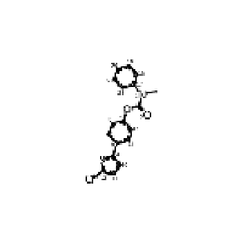 CN(C(=O)Oc1ccc(-c2ccc(Cl)s2)cc1)c1ccccc1